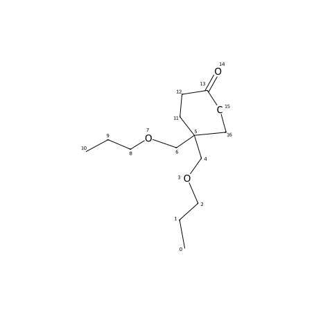 CCCOCC1(COCCC)CCC(=O)CC1